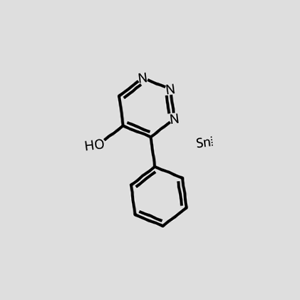 Oc1cnnnc1-c1ccccc1.[Sn]